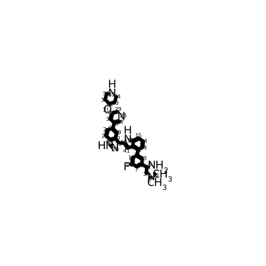 CN(C)CC(N)c1cc(F)cc(-c2cccc3[nH]c(-c4n[nH]c5ccc(-c6cncc(OC7CCNCC7)c6)cc45)cc23)c1